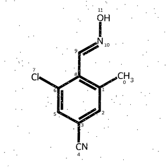 Cc1cc(C#N)cc(Cl)c1C=NO